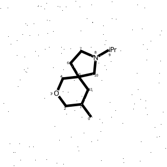 CC1COCC2(CCN(C(C)C)C2)C1